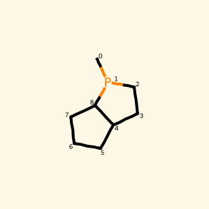 CP1CCC2CCCC21